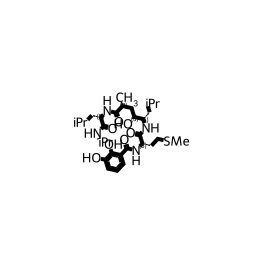 CSCC[C@H](NC(=O)c1cccc(O)c1O)C(=O)N[C@@H](CC(C)C)[C@@H](O)C[C@@H](C)C(=O)N[C@@H](CC(C)C)C(=O)NC(C)C